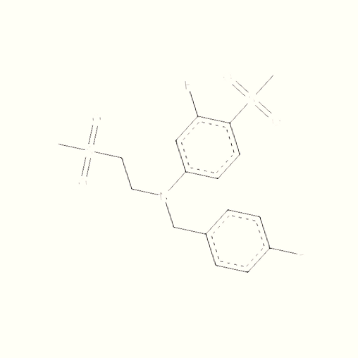 CS(=O)(=O)CCN(Cc1ccc(F)cc1)c1ccc(S(C)(=O)=O)c(F)c1